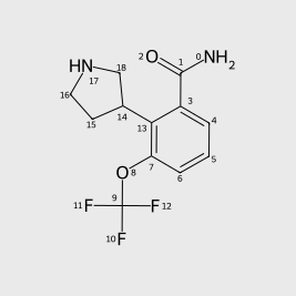 NC(=O)c1cccc(OC(F)(F)F)c1C1CCNC1